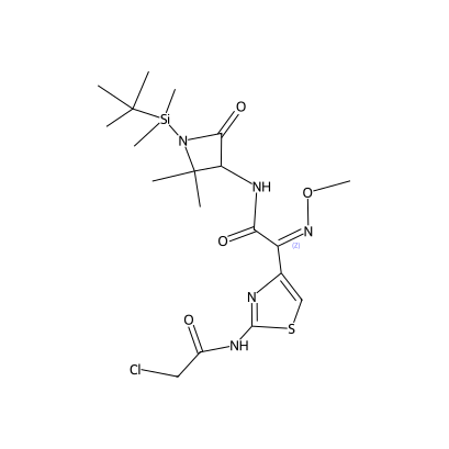 CO/N=C(\C(=O)NC1C(=O)N([Si](C)(C)C(C)(C)C)C1(C)C)c1csc(NC(=O)CCl)n1